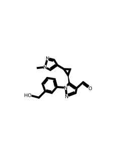 Cn1cc(C2C[C@H]2c2c(C=O)cnn2-c2cccc(CO)c2)cn1